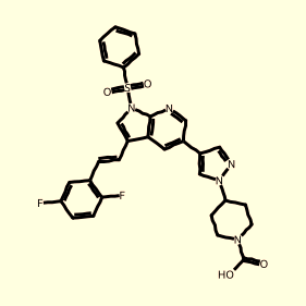 O=C(O)N1CCC(n2cc(-c3cnc4c(c3)c(/C=C/c3cc(F)ccc3F)cn4S(=O)(=O)c3ccccc3)cn2)CC1